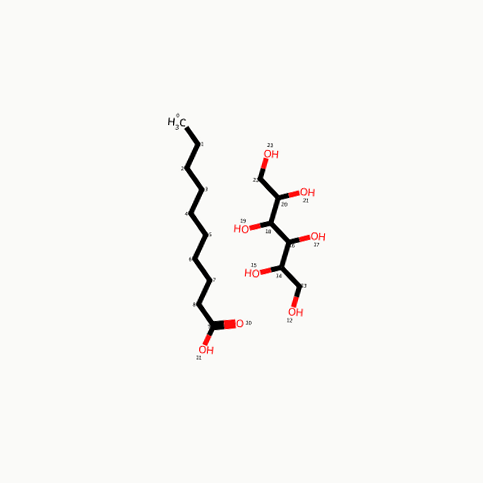 CCCCCCCCCC(=O)O.OCC(O)C(O)C(O)C(O)CO